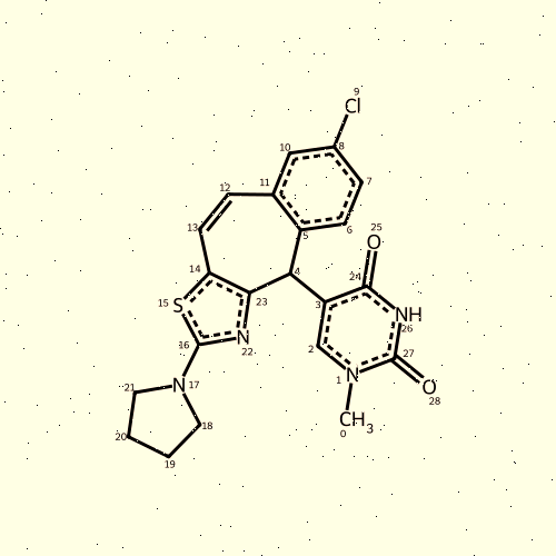 Cn1cc(C2c3ccc(Cl)cc3C=Cc3sc(N4CCCC4)nc32)c(=O)[nH]c1=O